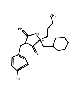 CCCC[C@]1(CC2CCCCC2)NC(=N)N(Cc2ccc(C)cc2)C1=O